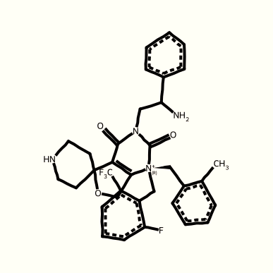 Cc1ccccc1C[N@+]1(Cc2c(F)cccc2C(F)(F)F)C(=O)N(CC(N)c2ccccc2)C(=O)C2=C1COC21CCNCC1